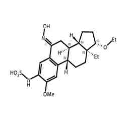 CCO[C@H]1CC[C@H]2[C@@H]3C/C(=N\O)c4cc(NS(=O)(=O)O)c(OC)cc4[C@H]3CC[C@]12CC